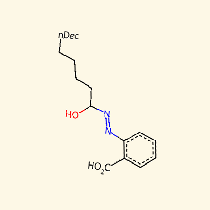 CCCCCCCCCCCCCCC(O)N=Nc1ccccc1C(=O)O